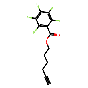 C#CCCCCOC(=O)c1c(F)c(F)c(F)c(F)c1F